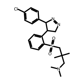 CN(C)CC(C)(C)CS(=O)(=O)c1ccccc1C1CN=NC1c1ccc(Cl)cc1